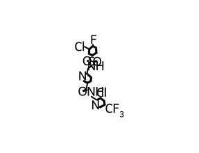 O=C(NCc1ncc(C(F)(F)F)cc1Cl)c1ccc(CNS(=O)(=O)c2ccc(F)c(Cl)c2)nc1